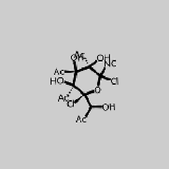 [C-]#[N+]C1(Cl)O[C@](Cl)(C(O)C(C)=O)[C@](O)(C(C)=O)[C@@](O)(C(C)=O)[C@]1(O)C(C)=O